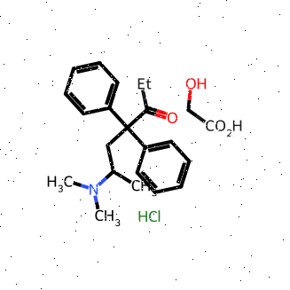 CCC(=O)C(CC(C)N(C)C)(c1ccccc1)c1ccccc1.Cl.O=C(O)CO